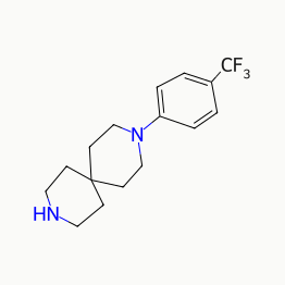 FC(F)(F)c1ccc(N2CCC3(CCNCC3)CC2)cc1